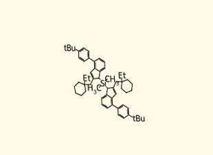 CCC1(CC2=Cc3c(-c4ccc(C(C)(C)C)cc4)cccc3C2[Si](C)(C)C2C(CC3(CC)CCCCC3)=Cc3c(-c4ccc(C(C)(C)C)cc4)cccc32)CCCCC1